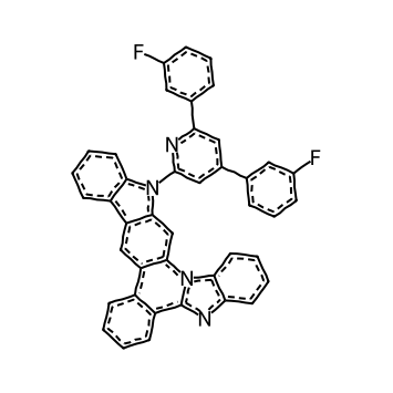 Fc1cccc(-c2cc(-c3cccc(F)c3)nc(-n3c4ccccc4c4cc5c6ccccc6c6nc7ccccc7n6c5cc43)c2)c1